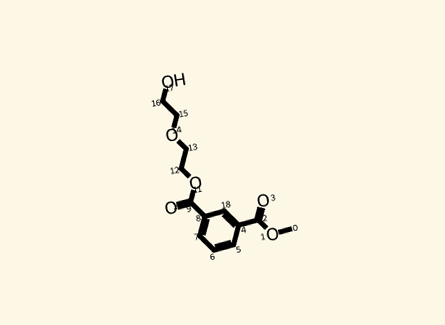 COC(=O)c1cccc(C(=O)OCCOCCO)c1